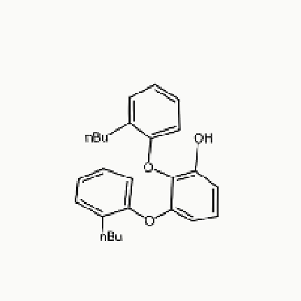 CCCCc1ccccc1Oc1cccc(O)c1Oc1ccccc1CCCC